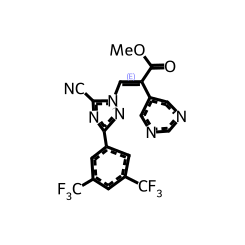 COC(=O)/C(=C/n1nc(-c2cc(C(F)(F)F)cc(C(F)(F)F)c2)nc1C#N)c1cncnc1